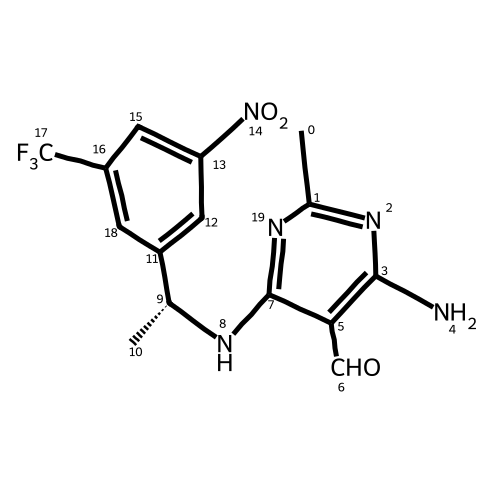 Cc1nc(N)c(C=O)c(N[C@H](C)c2cc([N+](=O)[O-])cc(C(F)(F)F)c2)n1